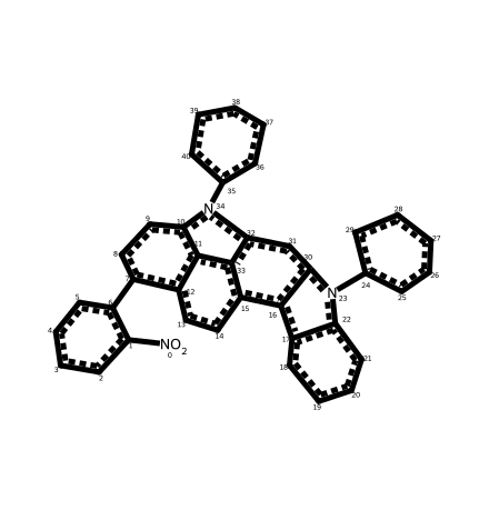 O=[N+]([O-])c1ccccc1-c1ccc2c3c1ccc1c4c5ccccc5n(-c5ccccc5)c4cc(c13)n2-c1ccccc1